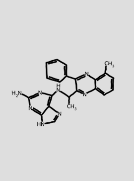 Cc1cccc2nc(C(C)Nc3nc(N)nc4[nH]cnc34)c(-c3ccccc3)nc12